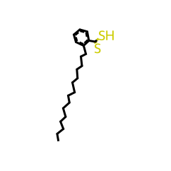 CCCCCCCCCCCCCCCc1ccccc1C(=S)S